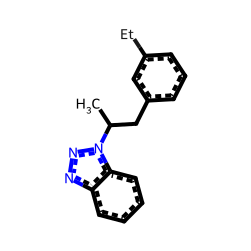 CCc1cccc(CC(C)n2nnc3ccccc32)c1